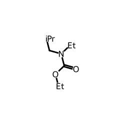 CCOC(=O)N(CC)CC(C)C